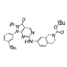 CC(C)n1c(=O)c2cnc(Nc3ccc4c(c3)CN(C(=O)OC(C)(C)C)CC4)nc2n1-c1cccc(C(C)(C)C)c1